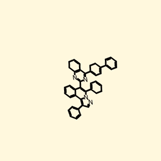 C1=CCCC(c2c(-c3nc4c(c(C5=CC=C(c6ccccc6)CC5)n3)C=CCC4)c3ccccc3c3c(-c4ccccc4)cnn23)=C1